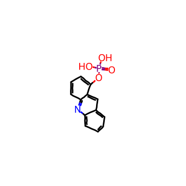 O=P(O)(O)Oc1cccc2nc3ccccc3cc12